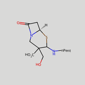 CCCCCNC1S[C@@H]2CC(=O)N2CC1(CO)C(=O)O